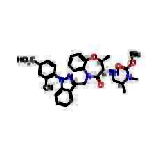 C[C@@H]1Oc2ccccc2N(Cc2nn(-c3ccc(C(=O)O)cc3C#N)c3ccccc23)C(=O)[C@H]1NC[C@H](C)N(C)C(=O)OC(C)(C)C